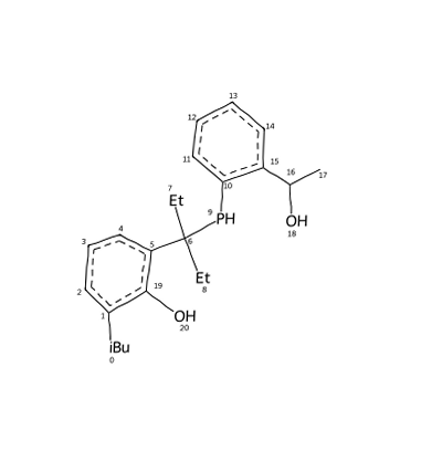 CCC(C)c1cccc(C(CC)(CC)Pc2ccccc2C(C)O)c1O